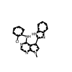 Cn1cc(-c2nc3ccccc3[nH]2)c2c(Nc3ccccc3Cl)ncnc21